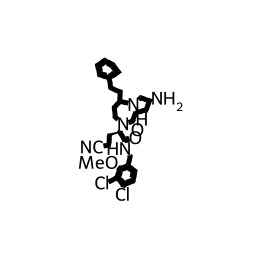 COc1c(CNC(=O)[C@@H](CCC#N)N2CCC(CCc3ccccc3)N3C[C@H](N)C[C@H]3C2=O)ccc(Cl)c1Cl